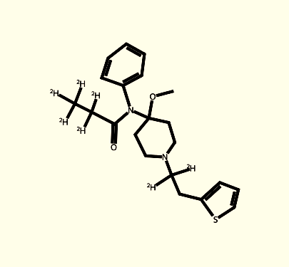 [2H]C([2H])(Cc1cccs1)N1CCC(OC)(N(C(=O)C([2H])([2H])C([2H])([2H])[2H])c2ccccc2)CC1